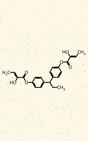 CC=C(O)C(=O)Oc1ccc(C(CC)c2ccc(OC(=O)C(O)=CC)cc2)cc1